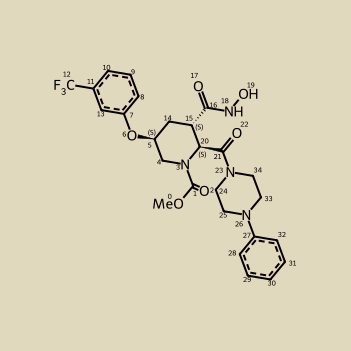 COC(=O)N1C[C@@H](Oc2cccc(C(F)(F)F)c2)C[C@H](C(=O)NO)[C@H]1C(=O)N1CCN(c2ccccc2)CC1